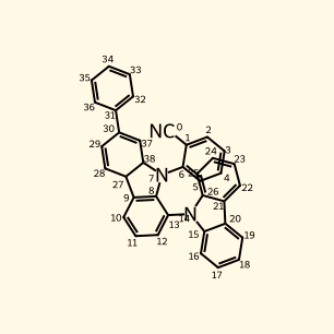 N#Cc1ccccc1N1c2c(cccc2-n2c3ccccc3c3ccccc32)C2C=CC(c3ccccc3)=CC21